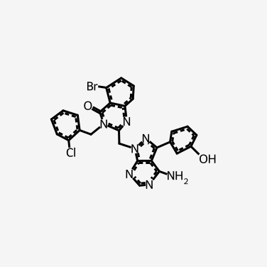 Nc1ncnc2c1c(-c1cccc(O)c1)nn2Cc1nc2cccc(Br)c2c(=O)n1Cc1ccccc1Cl